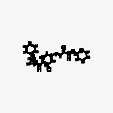 O=C(C=Cc1cnc(N[C@H]2C[C@@H]2c2ccccc2)c(Cl)c1)NOC1CCCCO1